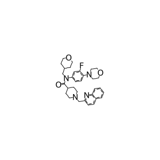 O=C(C1CCN(Cc2ccc3ccccc3n2)CC1)N(CC1CCOCC1)c1ccc(N2CCOCC2)c(F)c1